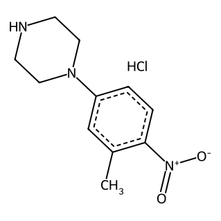 Cc1cc(N2CCNCC2)ccc1[N+](=O)[O-].Cl